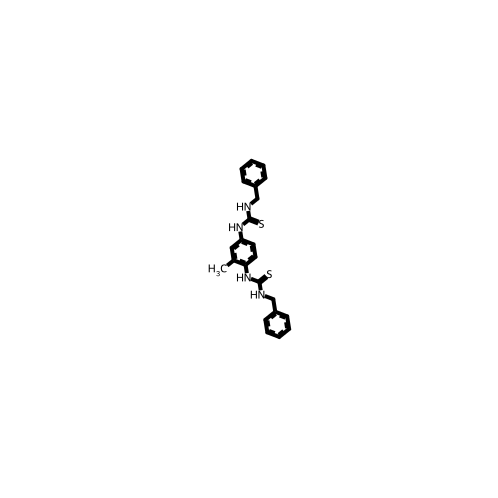 Cc1cc(NC(=S)NCc2ccccc2)ccc1NC(=S)NCc1ccccc1